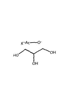 CC(=O)[O-].OCC(O)CO.[K+]